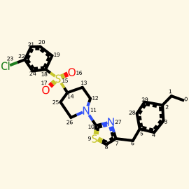 CCc1ccc(Cc2csc(N3CCC(S(=O)(=O)c4cccc(Cl)c4)CC3)n2)cc1